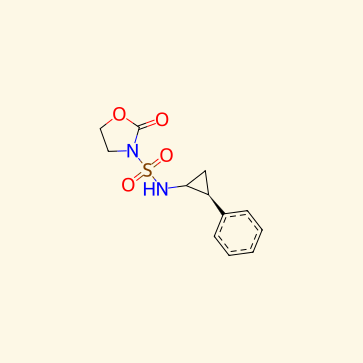 O=C1OCCN1S(=O)(=O)NC1C[C@H]1c1ccccc1